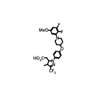 COc1cc(F)c(F)c(N2CCC(Oc3ccc(N4N=C(C(F)(F)F)C(C)C4CC(=O)O)cc3)CC2)c1